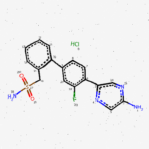 Cl.Nc1cnc(-c2ccc(-c3ccccc3CS(N)(=O)=O)cc2F)cn1